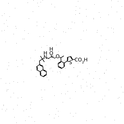 CC(OC[C@@H](O)CNC(C)(C)Cc1ccc2ccccc2c1)c1ccccc1-c1ccc(C(=O)O)s1